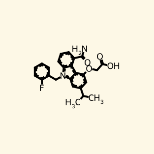 CC(C)c1cc(OCC(=O)O)c2c3c(C(N)=O)cccc3n(Cc3ccccc3F)c2c1